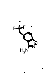 Nc1noc2ccc(CC(F)(F)F)cc12